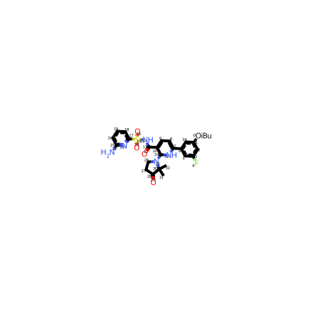 CC(C)COc1cc(F)cc(C2=CC=C(C(=O)NS(=O)(=O)c3cccc(N)n3)C(N3CCC(=O)C3(C)C)N2)c1